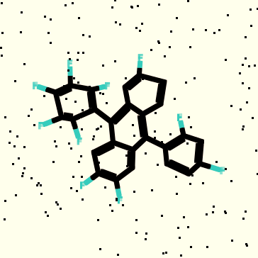 Fc1ccc(-c2c3ccc(F)cc3c(-c3c(F)c(F)c(F)c(F)c3F)c3cc(F)c(F)cc23)c(F)c1